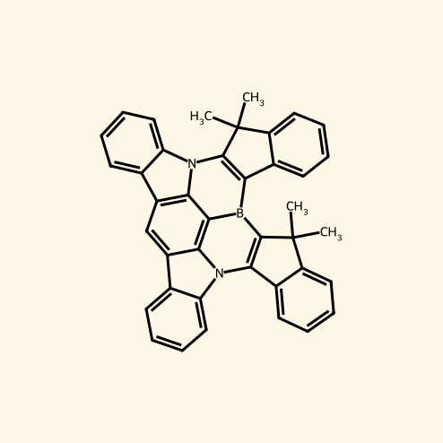 CC1(C)C2=C(c3ccccc31)n1c3ccccc3c3cc4c5ccccc5n5c4c(c31)B2C1=C5C(C)(C)c2ccccc21